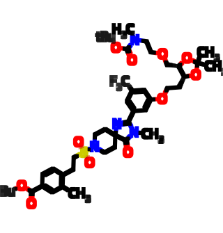 Cc1cc(C(=O)OC(C)(C)C)ccc1CCS(=O)(=O)N1CCC2(CC1)N=C(c1cc(OCC[C@@H]3OC(C)(C)O[C@@H]3COCCN(C)C(=O)OC(C)(C)C)cc(C(F)(F)F)c1)N(C)C2=O